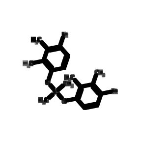 CCc1ccc([O][Sn]([CH3])([CH3])[O]c2ccc(CC)c(C)c2C)c(C)c1C